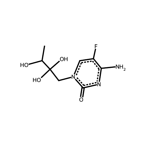 CC(O)C(O)(O)Cn1cc(F)c(N)nc1=O